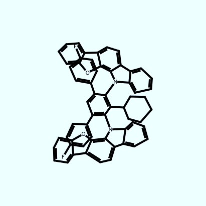 Fc1ccc(-c2cc(-c3ccc(F)cc3)c(-n3c4ccccc4c4ccc5c6ccccc6oc5c43)c(C3CCCCC3)c2-n2c3ccccc3c3ccc4c5ccccc5oc4c32)cc1